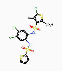 Cc1c(Cl)sc(C(=O)O)c1S(=O)(=O)Nc1cc(Cl)c(Cl)cc1NS(=O)(=O)c1cccs1